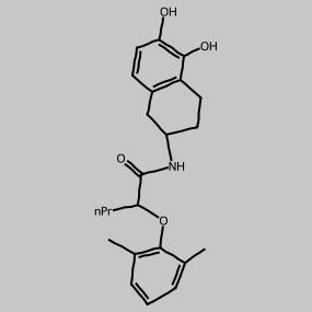 CCCC(Oc1c(C)cccc1C)C(=O)NC1CCc2c(ccc(O)c2O)C1